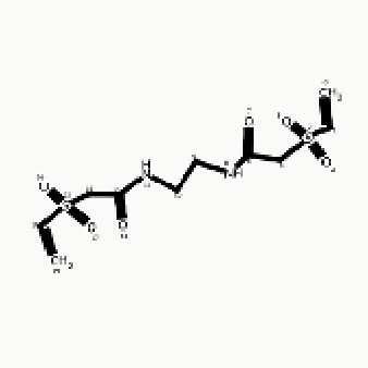 C=CS(=O)(=O)CC(=O)NCCNC(=O)CS(=O)(=O)C=C